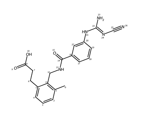 Cc1cccc(CCC(=O)O)c1CNC(=O)c1cccc(NC(N)=NC#N)c1